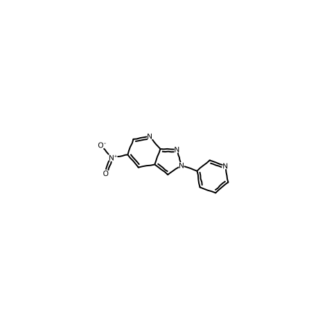 O=[N+]([O-])c1cnc2nn(-c3cccnc3)cc2c1